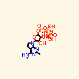 CNc1nc(C)nc2c1ccn2C1OC(OP(C)(=O)OP(=O)(O)OP(=O)(O)O)C(O)C1O